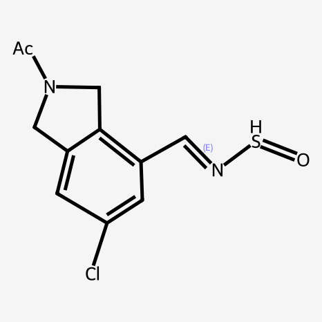 CC(=O)N1Cc2cc(Cl)cc(/C=N/[SH]=O)c2C1